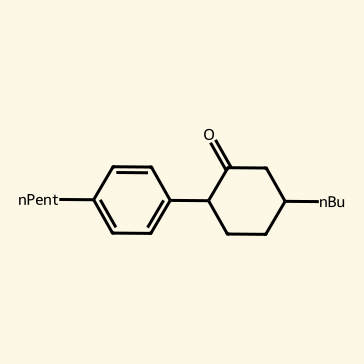 CCCCCc1ccc(C2CCC(CCCC)CC2=O)cc1